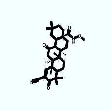 CONC(=O)[C@]12CCC(C)(C)CC1C1C(=O)C[C@@H]3[C@@]4(C)C=C(C#N)C(=O)C(C)(C)C4CC[C@@]3(C)[C@]1(C)CC2